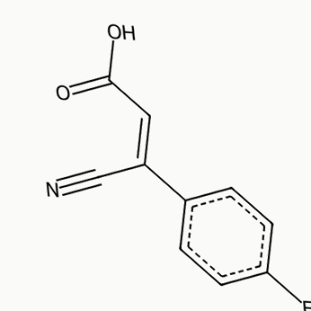 N#CC(=CC(=O)O)c1ccc(F)cc1